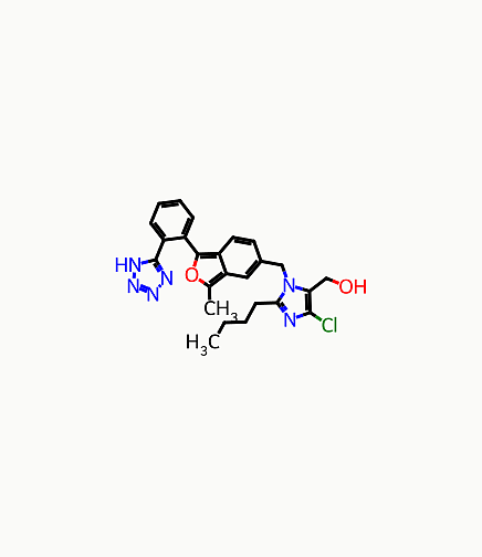 CCCCc1nc(Cl)c(CO)n1Cc1ccc2c(-c3ccccc3-c3nnn[nH]3)oc(C)c2c1